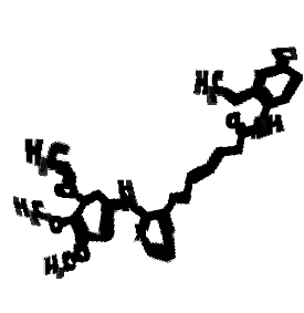 CCOc1cc(Nc2ncccc2/C=C/C=C/C=C/C(=O)Nc2ccc(Cl)cc2CC)cc(OC)c1OC